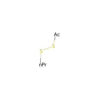 CCCSSC(C)=O